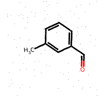 Cc1[c]ccc(C=O)c1